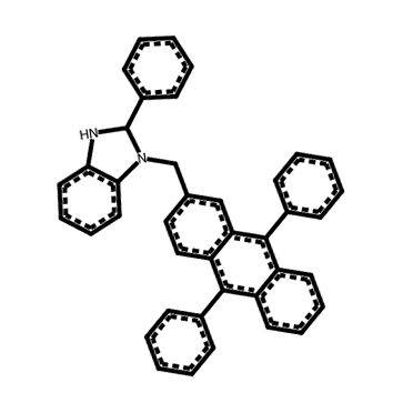 c1ccc(-c2c3ccccc3c(-c3ccccc3)c3cc(CN4c5ccccc5NC4c4ccccc4)ccc23)cc1